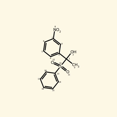 CC(O)(c1cccc([N+](=O)[O-])c1)S(=O)(=O)c1ccccc1